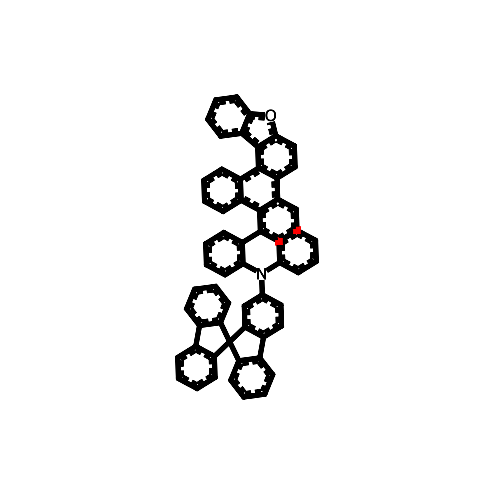 c1ccc(N(c2ccc3c(c2)C2(c4ccccc4-c4ccccc42)c2ccccc2-3)c2ccccc2-c2cccc3c4ccc5oc6ccccc6c5c4c4ccccc4c23)cc1